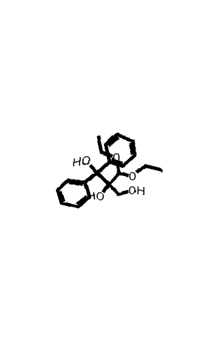 CCOC(OCC)C(O)(CO)C(O)(c1ccccc1)c1ccccc1